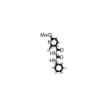 COc1ccc(C(=O)NC(=O)Nc2ccccc2)c(C)n1